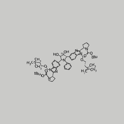 CC(C)(C)OC(=O)N1CCCC1c1nc2cc(C3C(O)[C@@H](O)C(c4ccc5c(c4)nc(C4CCCN4C(=O)OC(C)(C)C)n5COCCS(C)(C)C)N3c3ccccc3)ccc2n1COCCS(C)(C)C